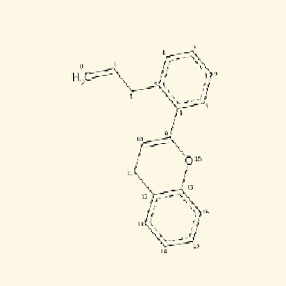 C=CCc1ccccc1C1=CCc2ccccc2O1